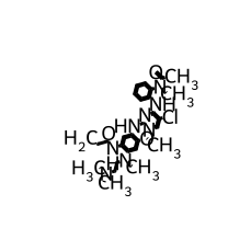 C=CC(=O)Nc1cc(Nc2ncc(Cl)c(Nc3ccccc3N(C)C(C)=O)n2)c(OC)cc1N(C)CCN(C)C